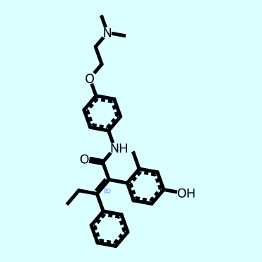 CC/C(=C(\C(=O)Nc1ccc(OCCN(C)C)cc1)c1ccc(O)cc1C)c1ccccc1